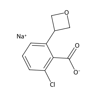 O=C([O-])c1c(Cl)cccc1C1COC1.[Na+]